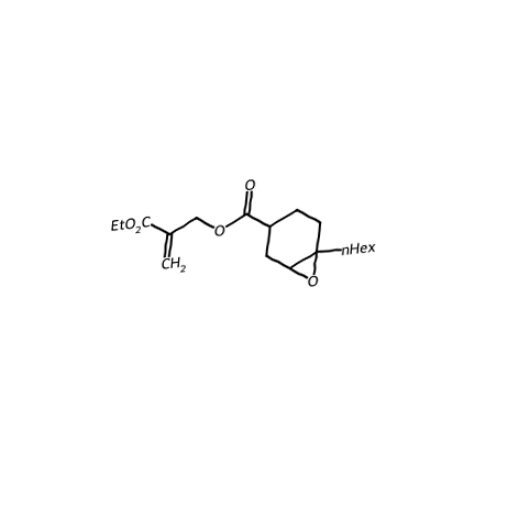 C=C(COC(=O)C1CCC2(CCCCCC)OC2C1)C(=O)OCC